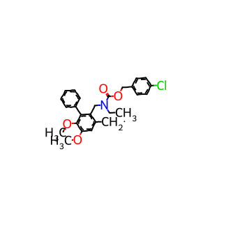 [CH2]c1cc(OC)c(OC)c(-c2ccccc2)c1CN(CC)C(=O)OCc1ccc(Cl)cc1